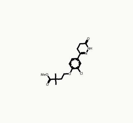 COC(=O)C(C)(C)CCOc1ccc(C2=NNC(=O)CC2)cc1Cl